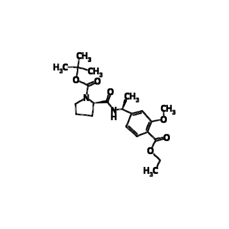 CCOC(=O)c1ccc([C@H](C)NC(=O)[C@H]2CCCN2C(=O)OC(C)(C)C)cc1OC